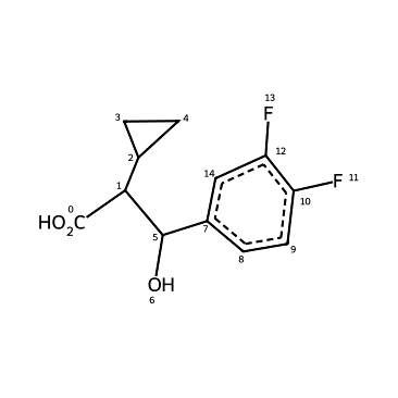 O=C(O)C(C1CC1)C(O)c1ccc(F)c(F)c1